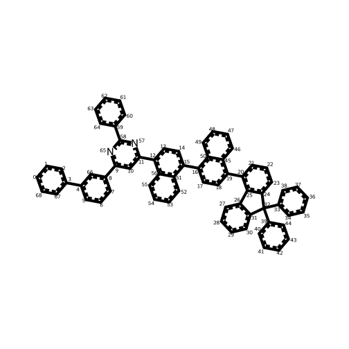 c1ccc(-c2cccc(-c3cc(-c4ccc(-c5ccc(-c6cccc7c6-c6ccccc6C7(c6ccccc6)c6ccccc6)c6ccccc56)c5ccccc45)nc(-c4ccccc4)n3)c2)cc1